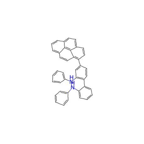 c1ccc(Nc2ccccc2-c2ccc(-c3ccc4ccc5cccc6ccc3c4c56)cc2Nc2ccccc2)cc1